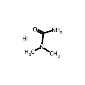 CN(C)C(N)=O.I